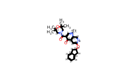 CCn1cc(C(=O)N2CC(C)(C)OC(C)(C)C2)c(=O)c2cc(OC3Cc4ccccc4C3)ncc21